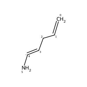 C=CC/C=[C]/N